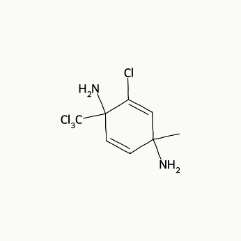 CC1(N)C=CC(N)(C(Cl)(Cl)Cl)C(Cl)=C1